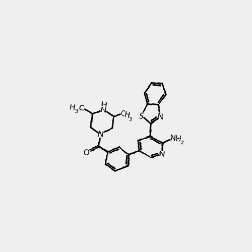 CC1CN(C(=O)c2cccc(-c3cnc(N)c(-c4nc5ccccc5s4)c3)c2)CC(C)N1